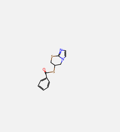 O=C(SC1CSc2nccn2C1)c1ccccc1